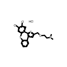 CN(C)CCOCc1cc2c(s1)-c1cc(Cl)c(Cl)cc1Sc1ccccc1-2.Cl